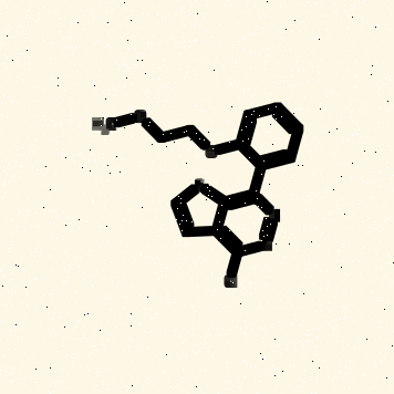 COCCOc1ccccc1-c1nnc(Cl)c2ccsc12